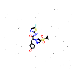 O=C1CC[C@H](C[C@@H](C(=O)Nc2ncc(F)s2)n2cc(S(=O)(=O)C3CC3)cn2)C1